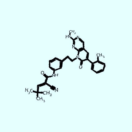 CNc1ncc2cc(-c3ccccc3C)c(=O)n(CCc3cccc(NC(=O)C(C#N)=CC(C)(C)C)c3)c2n1